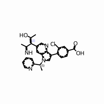 CC(=N)/C(=C(/C)O)c1cnc2c(-c3ccc(C(=O)O)cc3Cl)cn([C@@H](C)c3ccccn3)c2c1